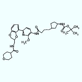 COc1nc(-c2cccc3c2OC(CNC(=O)C2CCOCC2)CO3)ccc1NC(=O)CCCC1CC[C@@H](NC(=O)OC(C)(C)C)C1